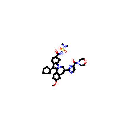 COc1ccc2c(c1)C=C(c1nccc(C(=O)N3CCOCC3)n1)Cn1c-2c(C2CCCCC2)c2ccc(C(=O)NS(=O)(=O)N(C)C)cc21